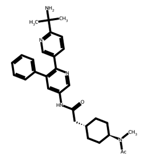 CC(=O)N(C)[C@H]1CC[C@H](CC(=O)Nc2cnc(-c3ccc(C(C)(C)N)nc3)c(-c3ccccc3)c2)CC1